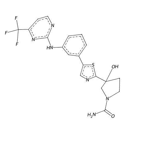 NC(=O)N1CCC(O)(c2ncc(-c3cccc(Nc4nccc(C(F)(F)F)n4)c3)s2)C1